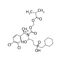 CC(C)C(=O)OCOC(=O)N(C(O)CCP(=O)(O)CC1CCCCC1)[C@H](C)c1ccc(Cl)c(Cl)c1